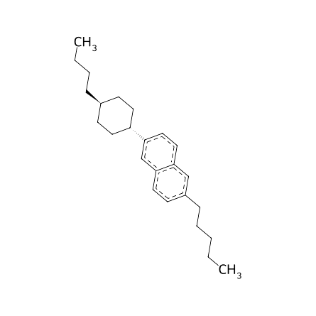 CCCCCc1ccc2cc([C@H]3CC[C@H](CCCC)CC3)ccc2c1